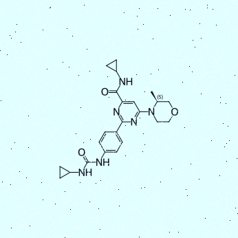 C[C@H]1COCCN1c1cc(C(=O)NC2CC2)nc(-c2ccc(NC(=O)NC3CC3)cc2)n1